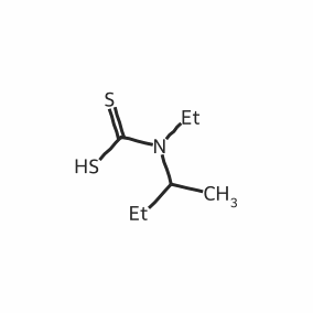 CCC(C)N(CC)C(=S)S